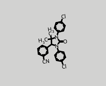 CC1(C)C(c2cccc(C#N)c2)N(c2ccc(Cl)cc2)C(=O)N1c1ccc(Cl)cc1